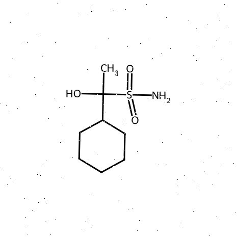 CC(O)(C1CCCCC1)S(N)(=O)=O